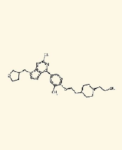 Cc1cc(-c2nc(C#N)nc3c2ccn3CC2CCOC2)ccc1OCCC1CCN(CCO)CC1